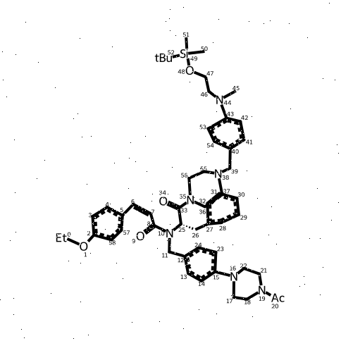 CCOc1ccc(/C=C\C(=O)N(Cc2ccc(N3CCN(C(C)=O)CC3)cc2)[C@@H](Cc2ccccc2)C(=O)N2CCN(Cc3ccc(N(C)CCO[Si](C)(C)C(C)(C)C)cc3)CC2)cc1